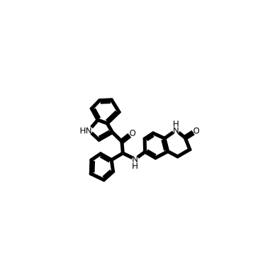 O=C1CCc2cc(NC(C(=O)c3c[nH]c4ccccc34)c3ccccc3)ccc2N1